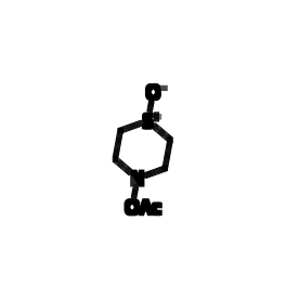 CC(=O)ON1CC[S+]([O-])CC1